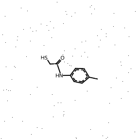 Cc1ccc(NC(=O)CS)cc1